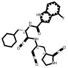 O=C=C[C@H](C[C@@H]1CCNC1=C=O)NC(=C=O)[C@H](CC1CCCCC1)NC(=O)c1cc2c(F)cccc2[nH]1